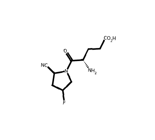 N#CC1CC(F)CN1C(=O)[C@@H](N)CCC(=O)O